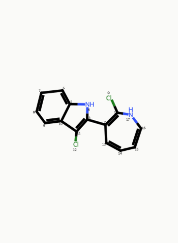 ClC1=C(c2[nH]c3ccccc3c2Cl)C=CC=CN1